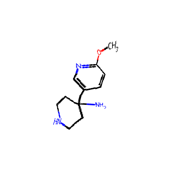 COc1ccc(C2(N)CCNCC2)cn1